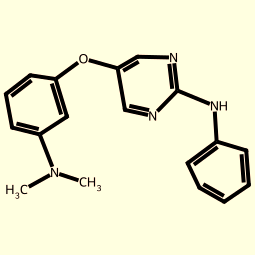 CN(C)c1cccc(Oc2cnc(Nc3ccccc3)nc2)c1